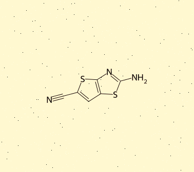 N#Cc1cc2sc(N)nc2s1